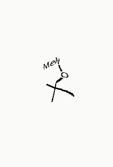 C[N]OC(C)(C)C